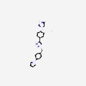 COc1cc(-c2cn(Cc3ccc(-n4cccc4)cc3)nn2)ccc1-n1cnc(C)c1